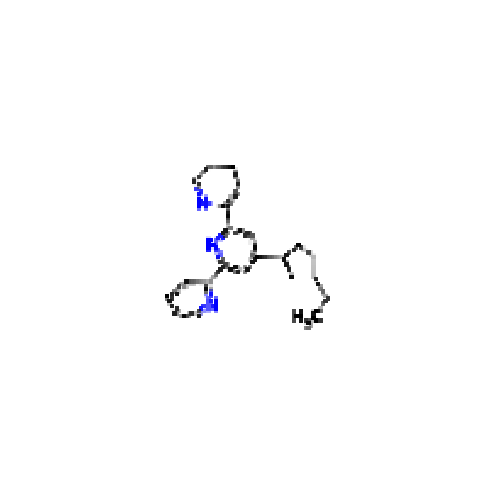 CCC1CCC(c2cc(C3=CCCC=N3)nc(-c3ccccn3)c2)C1